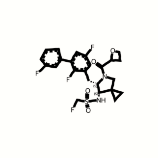 O=C(C1CCO1)N1CC2(CC2)[C@H](NS(=O)(=O)CF)[C@@H]1Cc1cc(F)cc(-c2cccc(F)c2)c1F